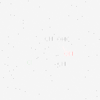 CC(C)Cl.O=CO